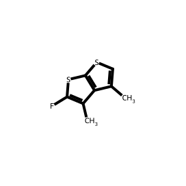 Cc1csc2sc(F)c(C)c12